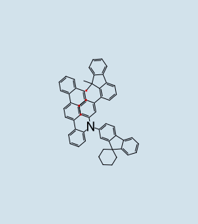 CC1(C)c2ccccc2-c2cccc(-c3cccc(N(c4ccc5c(c4)C4(CCCCC4)c4ccccc4-5)c4ccccc4-c4ccc5c(ccc6ccccc65)c4)c3)c21